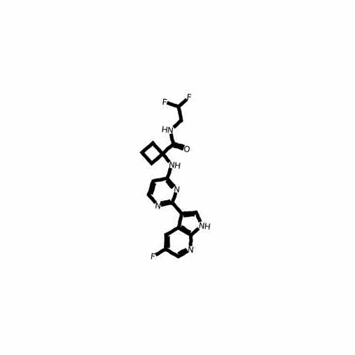 O=C(NCC(F)F)C1(Nc2ccnc(-c3c[nH]c4ncc(F)cc34)n2)CCC1